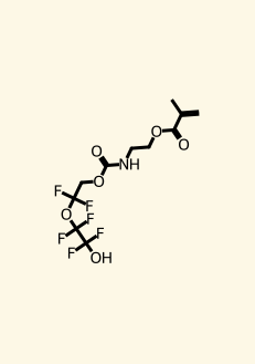 C=C(C)C(=O)OCCNC(=O)OCC(F)(F)OC(F)(F)C(O)(F)F